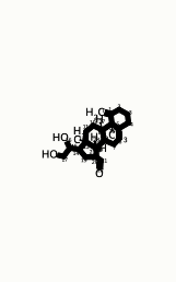 C=C1CCCC2CC[C@@H]3[C@@H](CC[C@]4(C)C(C(O)CO)CC(C=O)[C@@H]34)[C@@]12C